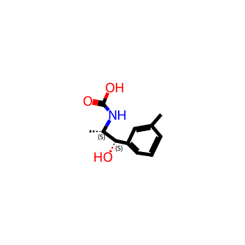 Cc1cccc([C@H](O)[C@H](C)NC(=O)O)c1